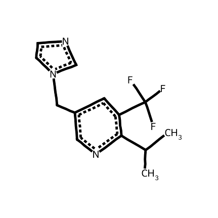 CC(C)c1ncc(Cn2ccnc2)cc1C(F)(F)F